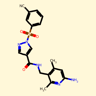 Cc1cc(N)nc(C)c1CNC(=O)c1cnn(S(=O)(=O)c2cccc(C#N)c2)c1